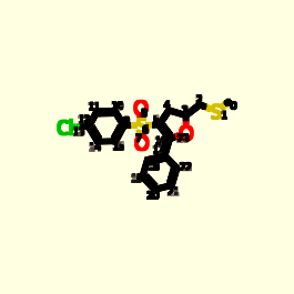 CSCC1CC(S(=O)(=O)c2ccc(Cl)cc2)=C(c2ccccc2)O1